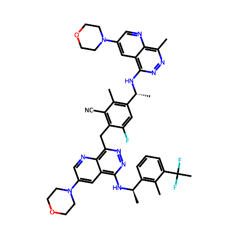 Cc1c([C@@H](C)Nc2nnc(Cc3c(F)cc([C@@H](C)Nc4nnc(C)c5ncc(N6CCOCC6)cc45)c(C)c3C#N)c3ncc(N4CCOCC4)cc23)cccc1C(C)(F)F